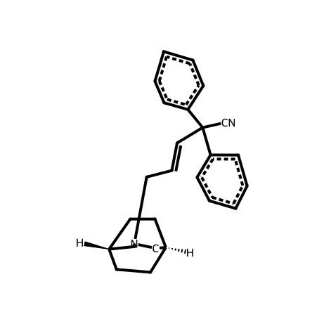 N#CC(C=CCN1C[C@H]2CC[C@@H](CC2)C1)(c1ccccc1)c1ccccc1